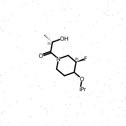 CC(C)OC1CCN(C(=O)[C@H](C)O)C[C@H]1F